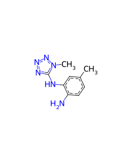 Cc1ccc(N)c(Nc2nnnn2C)c1